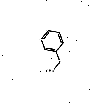 CCCCCc1c[c][c]cc1